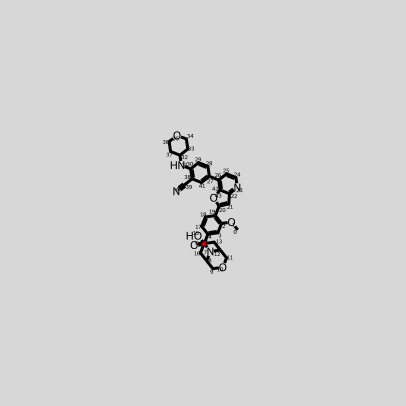 COc1cc(C(=O)N2C3COCC2CC(O)C3)ccc1-c1cc2nccc(-c3ccc(NC4CCOCC4)c(C#N)c3)c2o1